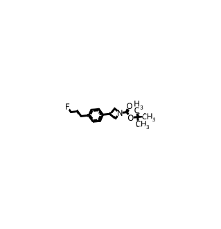 CC(C)(C)OC(=O)N1CC(c2ccc(CCCF)cc2)C1